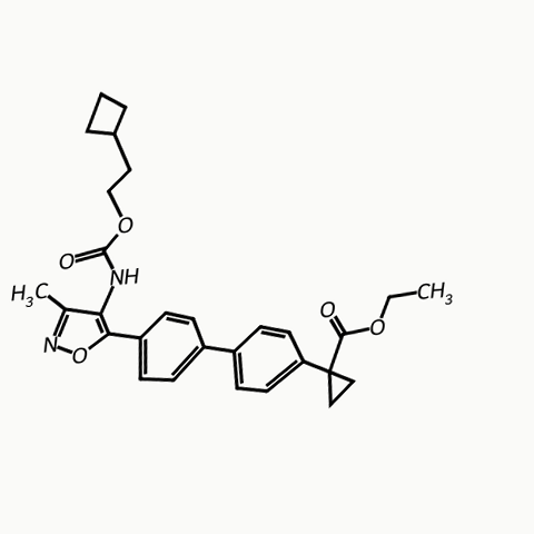 CCOC(=O)C1(c2ccc(-c3ccc(-c4onc(C)c4NC(=O)OCCC4CCC4)cc3)cc2)CC1